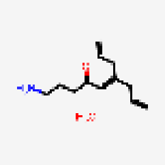 C=CCC(=CC(=O)CCCN)CC=C.O